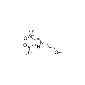 COCCCn1cc([N+](=O)[O-])c(C(=O)OC)n1